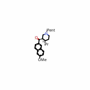 CCCC(C)N1CC[C@@H](C(C)C)[C@@H](C(=O)c2ccc3cc(OC)ccc3c2)C1